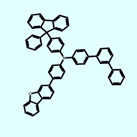 c1ccc(-c2cccc(-c3ccc(N(c4ccc(-c5ccc6c(c5)oc5ccccc56)cc4)c4ccc(C5(c6ccccc6)c6ccccc6-c6ccccc65)cc4)cc3)c2)cc1